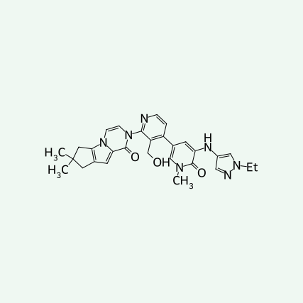 CCn1cc(Nc2cc(-c3ccnc(-n4ccn5c6c(cc5c4=O)CC(C)(C)C6)c3CO)cn(C)c2=O)cn1